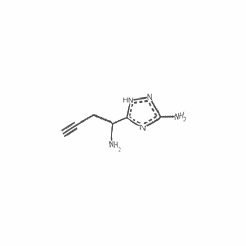 C#CCC(N)c1nc(N)n[nH]1